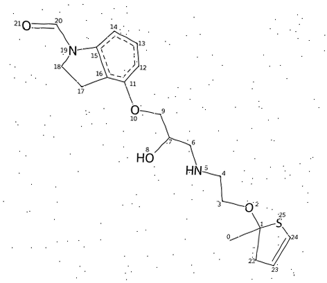 CC1(OCCNCC(O)COc2cccc3c2CCN3C=O)CC=CS1